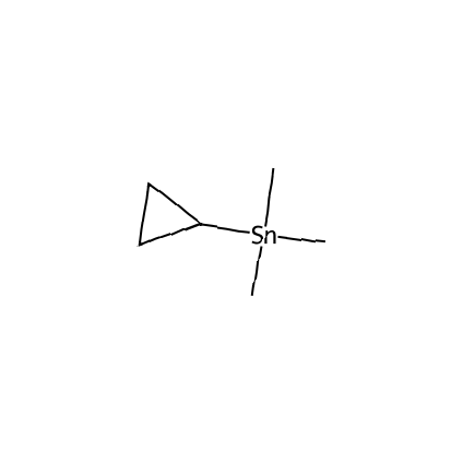 [CH3][Sn]([CH3])([CH3])[CH]1CC1